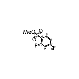 COS(=O)(=O)c1ccc(F)cc1F